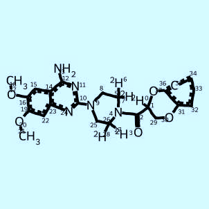 [2H]C1(C(=O)N2C([2H])([2H])CN(c3nc(N)c4cc(OC)c(OC)cc4n3)CC2([2H])[2H])COc2ccccc2O1